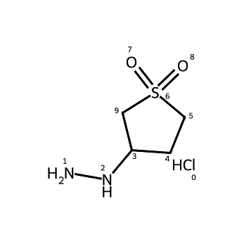 Cl.NNC1CCS(=O)(=O)C1